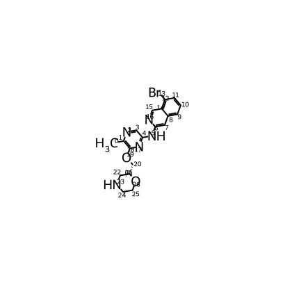 Cc1ncc(Nc2cc3cccc(Br)c3cn2)nc1OC[C@H]1CNCCO1